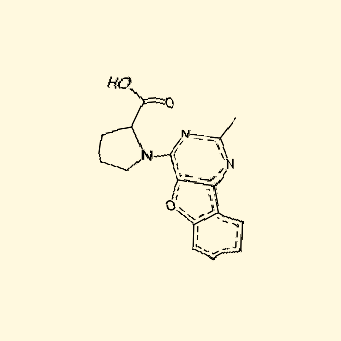 Cc1nc(N2CCCC2C(=O)O)c2oc3ccccc3c2n1